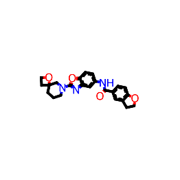 O=C(Nc1ccc2oc(N3CCCC4(CCO4)C3)nc2c1)c1ccc2c(c1)CCO2